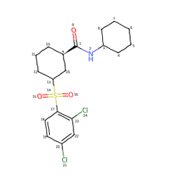 O=C(NC1CCCCC1)[C@@H]1CCCC(S(=O)(=O)c2ccc(Cl)cc2Cl)C1